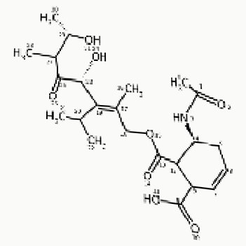 CC(=O)N[C@H]1CC=CC(C(=O)O)C1C(=O)OC/C(C)=C(\C(C)C)[C@@H](O)C(=O)C(C)[C@H](C)O